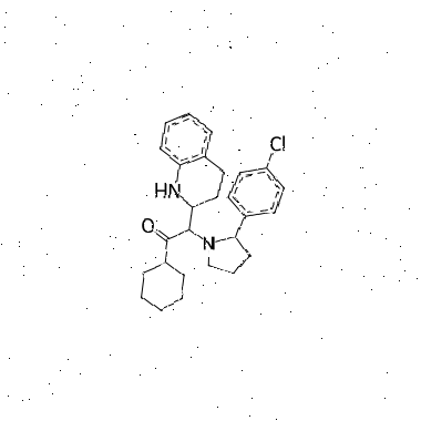 O=C(C1CCCCC1)C(C1CCc2ccccc2N1)N1CCCC1c1ccc(Cl)cc1